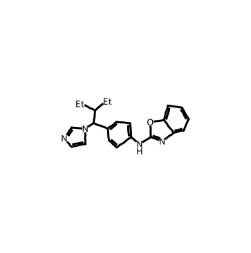 CCC(CC)C(c1ccc(Nc2nc3ccccc3o2)cc1)n1ccnc1